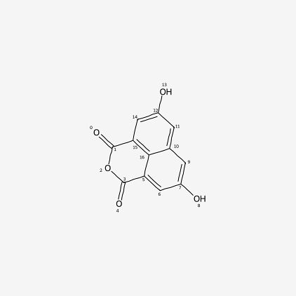 O=C1OC(=O)c2cc(O)cc3cc(O)cc1c23